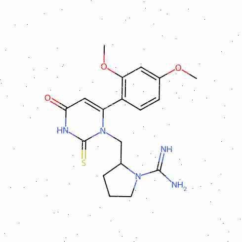 COc1ccc(-c2cc(=O)[nH]c(=S)n2CC2CCCN2C(=N)N)c(OC)c1